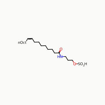 CCCCCCCC/C=C\CCCCCCCC(=O)NCCCOS(=O)(=O)O